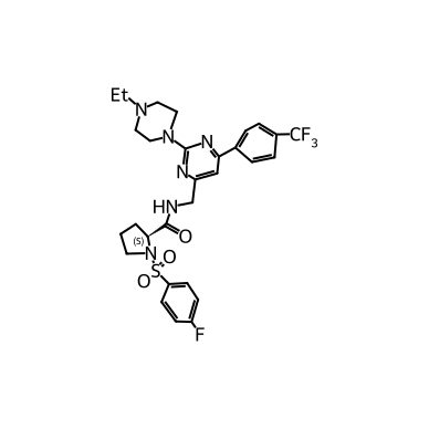 CCN1CCN(c2nc(CNC(=O)[C@@H]3CCCN3S(=O)(=O)c3ccc(F)cc3)cc(-c3ccc(C(F)(F)F)cc3)n2)CC1